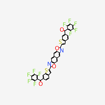 O=C(c1ccc2cc(-c3nc4cc5cc6oc(-c7cc8ccc(C(=O)c9c(F)c(F)c(F)c(F)c9F)cc8s7)nc6cc5cc4o3)sc2c1)c1c(F)c(F)c(F)c(F)c1F